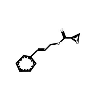 O=C(OCC=Cc1ccccc1)C1=CO1